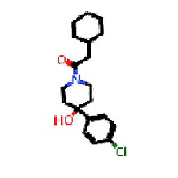 O=C(CC1CCCCC1)N1CCC(O)(c2ccc(Cl)cc2)CC1